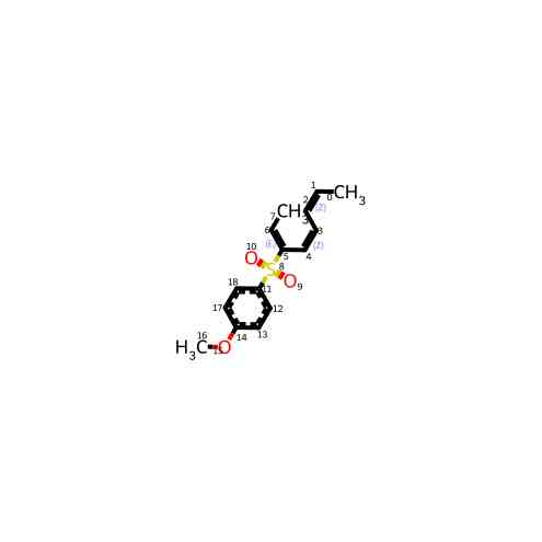 C\C=C/C=C\C(=C/C)S(=O)(=O)c1ccc(OC)cc1